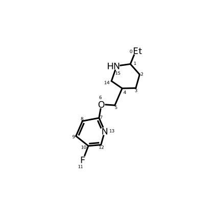 CCC1CCC(COc2ccc(F)cn2)CN1